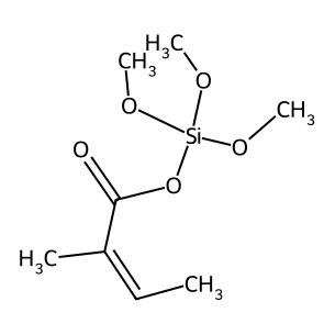 CC=C(C)C(=O)O[Si](OC)(OC)OC